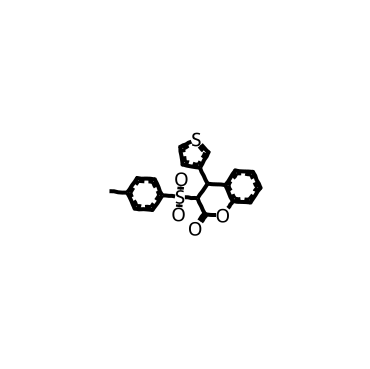 Cc1ccc(S(=O)(=O)C2C(=O)Oc3ccccc3C2c2ccsc2)cc1